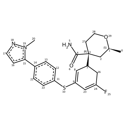 C[C@H]1C[C@@](C(N)=O)(C2C=C(Sc3ccc(-c4ccnn4C)cc3)C=C(F)C2)CCO1